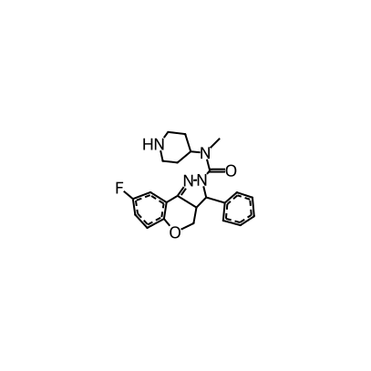 CN(C(=O)N1N=C2c3cc(F)ccc3OCC2C1c1ccccc1)C1CCNCC1